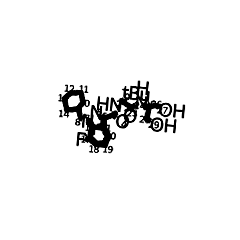 CC(C)(C)C(NC(=O)c1nn(CC2CCCCC2)c2c(F)cccc12)C(=O)NC(CO)CO